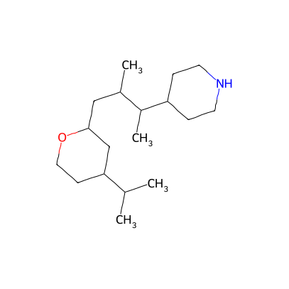 CC(C)C1CCOC(CC(C)C(C)C2CCNCC2)C1